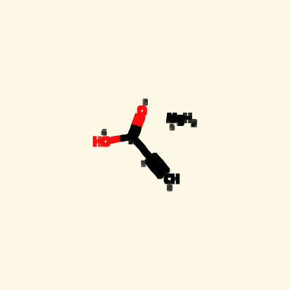 C#CC(=O)O.[MgH2]